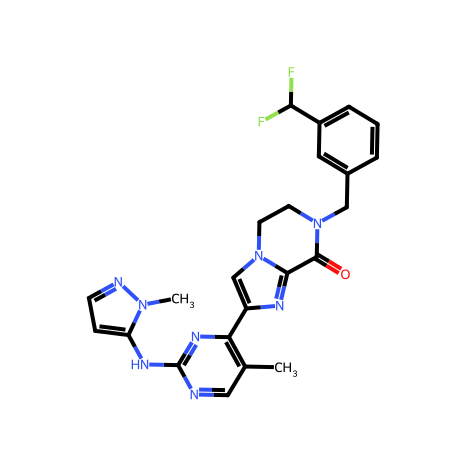 Cc1cnc(Nc2ccnn2C)nc1-c1cn2c(n1)C(=O)N(Cc1cccc(C(F)F)c1)CC2